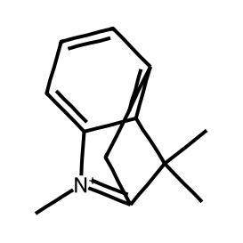 C[N+]1=C2Cc3cccc1c3C2(C)C